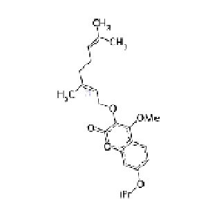 COc1c(OC/C=C(\C)CCC=C(C)C)c(=O)oc2cc(OC(C)C)ccc12